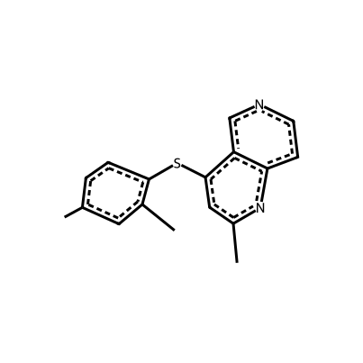 Cc1ccc(Sc2cc(C)nc3ccncc23)c(C)c1